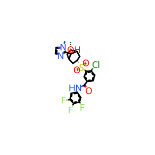 C[C@H]1CC2C[C@@H](S(=O)(=O)c3cc(C(=O)Nc4cc(F)c(F)c(F)c4)ccc3Cl)CC1[C@@]2(O)c1nccn1C